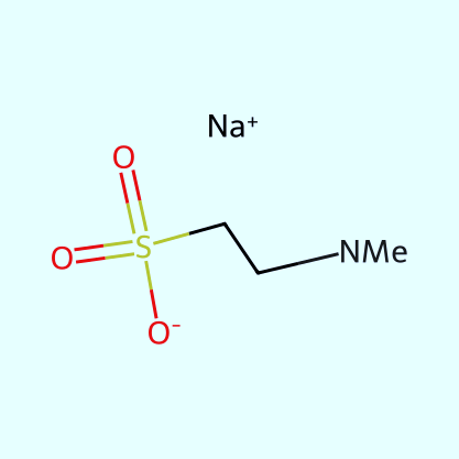 CNCCS(=O)(=O)[O-].[Na+]